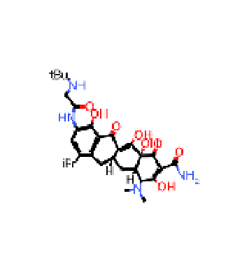 CC(C)c1cc(NC(=O)CNC(C)(C)C)c(O)c2c1C[C@H]1C[C@H]3[C@H](N(C)C)C(O)=C(C(N)=O)C(=O)[C@@]3(O)C(O)=C1C2=O